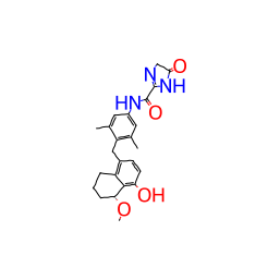 CO[C@@H]1CCCc2c(Cc3c(C)cc(NC(=O)C4=NCC(=O)N4)cc3C)ccc(O)c21